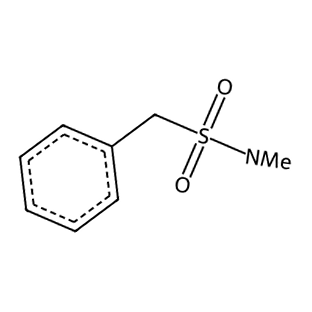 CNS(=O)(=O)Cc1ccccc1